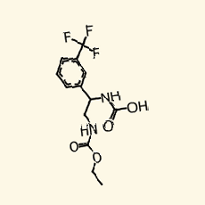 CCOC(=O)NCC(NC(=O)O)c1cccc(C(F)(F)F)c1